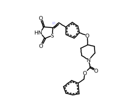 O=C1NC(=O)/C(=C/c2ccc(OC3CCN(C(=O)OCc4ccccc4)CC3)cc2)S1